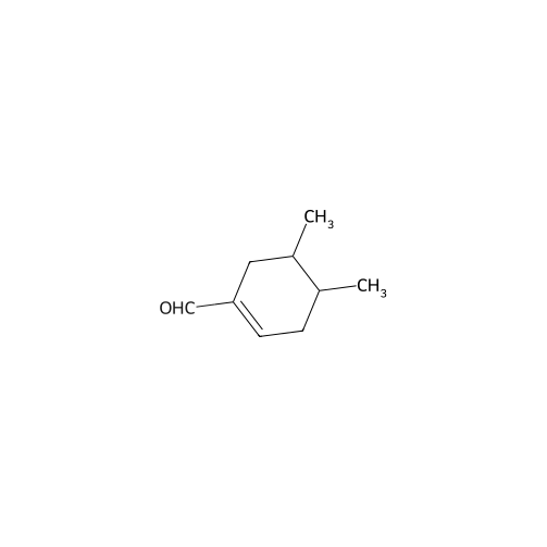 CC1CC=C(C=O)CC1C